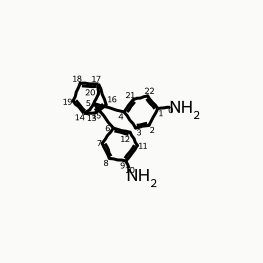 Nc1ccc(C2(c3ccc(N)cc3)Cc3ccc(cc3)C2)cc1